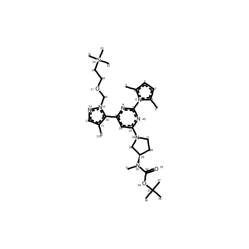 Cc1ccc(C)n1-c1nc(-c2c(F)cnn2COCC[Si](C)(C)C)cc(N2CC[C@@H](N(C)C(=O)OC(C)(C)C)C2)n1